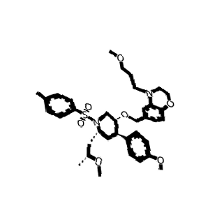 COCCCN1CCOc2ccc(CO[C@H]3CN(S(=O)(=O)c4ccc(C)cc4)[C@@H](C[C@@H](C)OC)C[C@@H]3c3ccc(OC)cc3)cc21